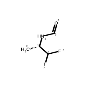 C[C@H](N[C]=O)C(F)F